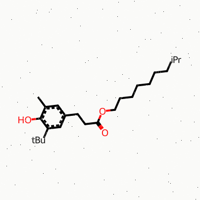 Cc1cc(CCC(=O)OCCCCCCCC(C)C)cc(C(C)(C)C)c1O